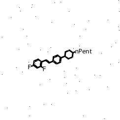 CCCCCC1CCC(c2ccc(C=Cc3ccc(F)cc3F)cc2)CC1